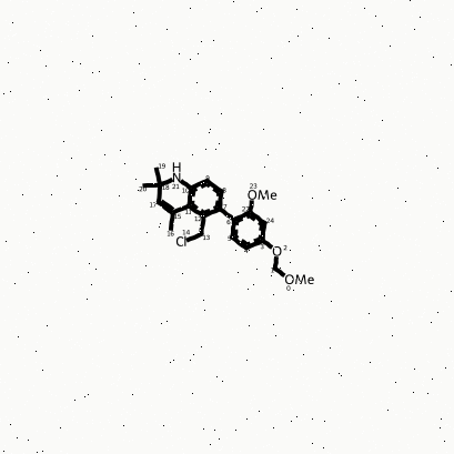 COCOc1ccc(-c2ccc3c(c2CCl)C(C)=CC(C)(C)N3)c(OC)c1